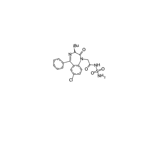 CC[C@H](C)C1N=C(c2ccccc2)c2cc(Cl)ccc2N(CC(=O)NS(N)(=O)=O)C1=O